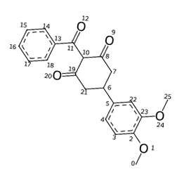 COc1ccc(C2CC(=O)C(C(=O)c3ccccc3)C(=O)C2)cc1OC